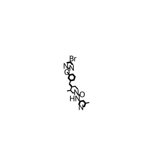 Cc1cncc(NC(=O)N2CCC(=Cc3cccc(Oc4ncc(Br)cn4)c3)C(C)C2)c1